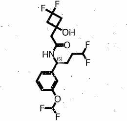 O=C(CC1(O)CC(F)(F)C1)N[C@@H](CCC(F)F)c1cccc(OC(F)F)c1